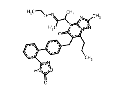 CCCc1c(Cc2ccc(-c3ccccc3-c3noc(=O)[nH]3)cc2)c(=O)n(C(C)/C(C)=N/OCC)c2nc(C)nn12